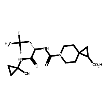 CC(F)(F)C[C@H](NC(=O)N1CCC2(CC1)CC2C(=O)O)C(=O)NC1(C#N)CC1